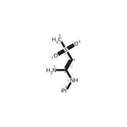 CC(C)N/C(N)=C/S(C)(=O)=O